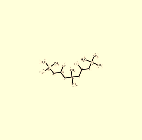 C[N+](C)(C)CC(O)C[N+](C)(C)CC(O)C[N+](C)(C)C